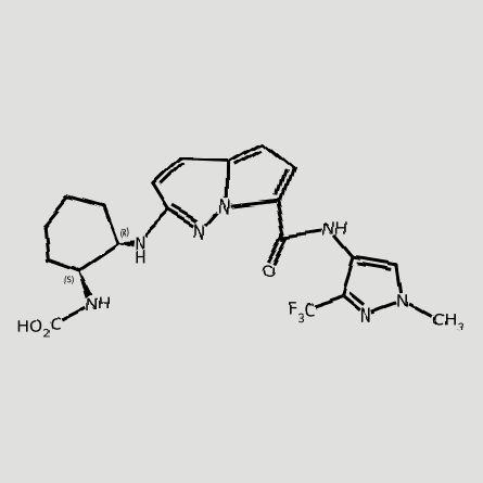 Cn1cc(NC(=O)c2ccc3ccc(N[C@@H]4CCCC[C@@H]4NC(=O)O)nn23)c(C(F)(F)F)n1